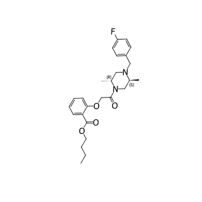 CCCCOC(=O)c1ccccc1OCC(=O)N1C[C@H](C)N(Cc2ccc(F)cc2)C[C@H]1C